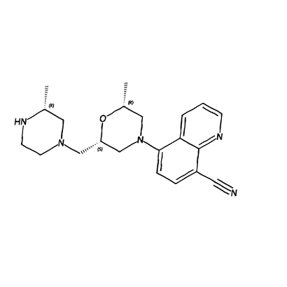 C[C@@H]1CN(C[C@H]2CN(c3ccc(C#N)c4ncccc34)C[C@@H](C)O2)CCN1